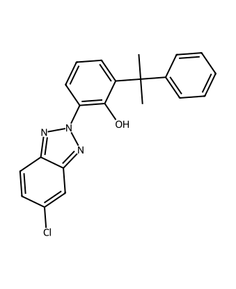 CC(C)(c1ccccc1)c1cccc(-n2nc3ccc(Cl)cc3n2)c1O